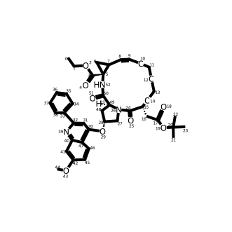 CCOC(=O)[C@@]12CC1/C=C\CCCCC[C@H](CC(=O)OC(C)(C)C)C(=O)N1C[C@H](Oc3cc(-c4ccccc4)nc4cc(OC)ccc34)C[C@H]1C(=O)N2